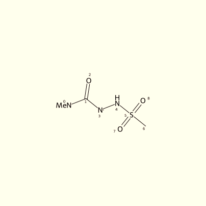 CNC(=O)[N]NS(C)(=O)=O